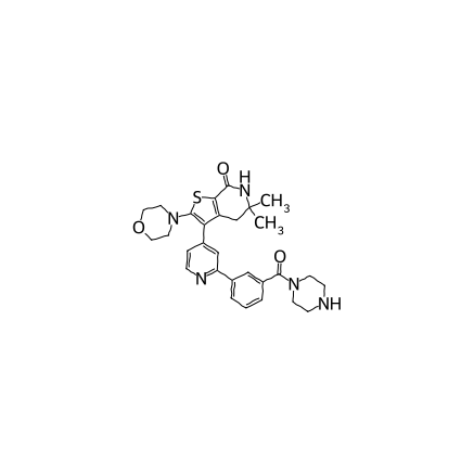 CC1(C)Cc2c(sc(N3CCOCC3)c2-c2ccnc(-c3cccc(C(=O)N4CCNCC4)c3)c2)C(=O)N1